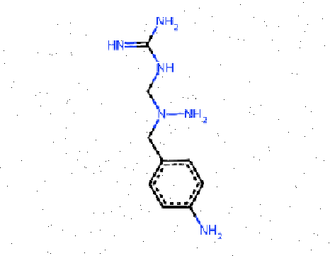 N=C(N)NCN(N)Cc1ccc(N)cc1